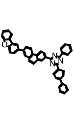 c1ccc(-c2ccc(-c3nc(-c4ccccc4)nc(-c4ccc5c(ccc6cc(-c7ccc8oc9ccccc9c8c7)ccc65)c4)n3)cc2)cc1